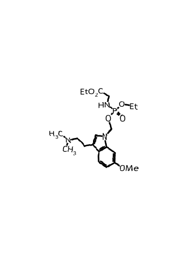 CCOC(=O)CNP(=O)(OCC)OCn1cc(CCN(C)C)c2ccc(OC)cc21